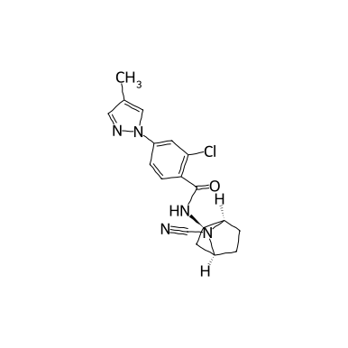 Cc1cnn(-c2ccc(C(=O)N[C@@H]3C[C@@H]4CC[C@H]3N4C#N)c(Cl)c2)c1